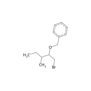 CCC(C)C(CBr)OCc1ccccc1